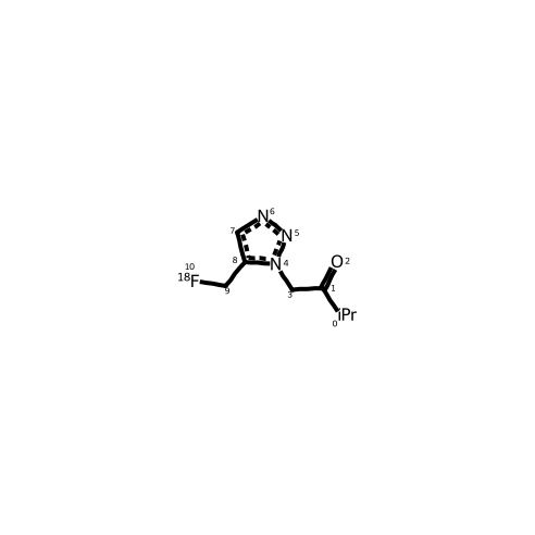 CC(C)C(=O)Cn1nncc1C[18F]